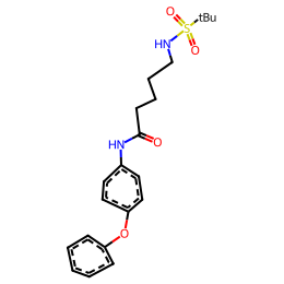 CC(C)(C)S(=O)(=O)NCCCCC(=O)Nc1ccc(Oc2ccccc2)cc1